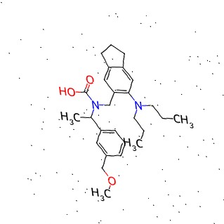 CCCN(CCC)c1cc2c(cc1CN(C(=O)O)C(C)c1cccc(COC)c1)CCC2